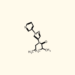 CCCN(C(=O)C(C)C)c1cnn(-c2cccnc2)c1